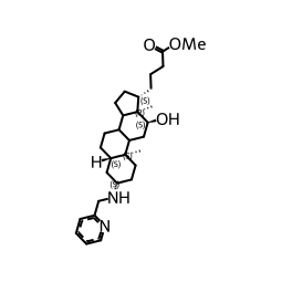 COC(=O)CCC[C@H]1CCC2C3CC[C@H]4C[C@@H](NCc5ccccn5)CC[C@]4(C)C3C[C@H](O)[C@@]21C